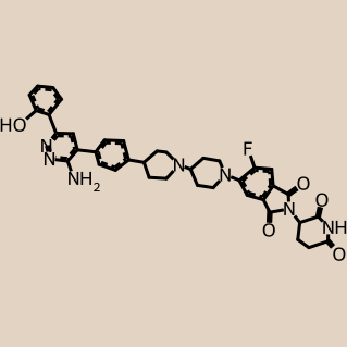 Nc1nnc(-c2ccccc2O)cc1-c1ccc(C2CCN(C3CCN(c4cc5c(cc4F)C(=O)N(C4CCC(=O)NC4=O)C5=O)CC3)CC2)cc1